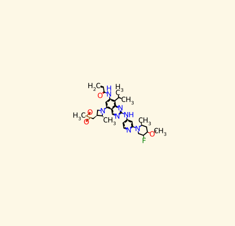 C=CC(=O)Nc1cc(N2C[C@H](CS(C)(=O)=O)[C@H]2C)c2cnc(Nc3ccnc(N4C[C@H](F)[C@H](OC)C[C@@H]4C)c3)nc2c1C(C)C